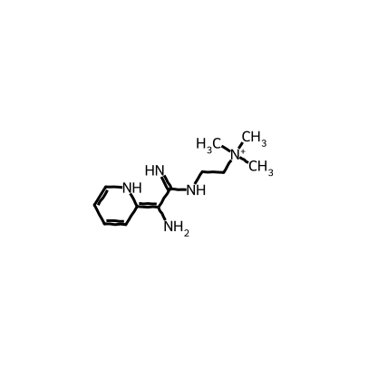 C[N+](C)(C)CCNC(=N)/C(N)=C1/C=CC=CN1